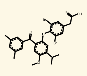 COc1cc(C(=O)c2cc(C)cc(C)c2)c(Oc2c(Br)cc(CC(=O)O)cc2Br)cc1C(C)C